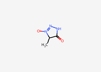 CC1C(=O)NN=[N+]1[O-]